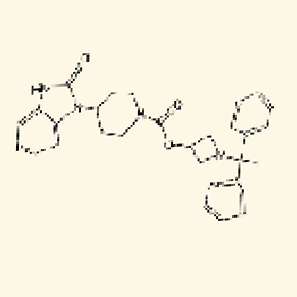 O=C(OC1CN(C(I)(c2ccccc2)c2ccccc2)C1)N1CCC(n2c(=O)[nH]c3ccccc32)CC1